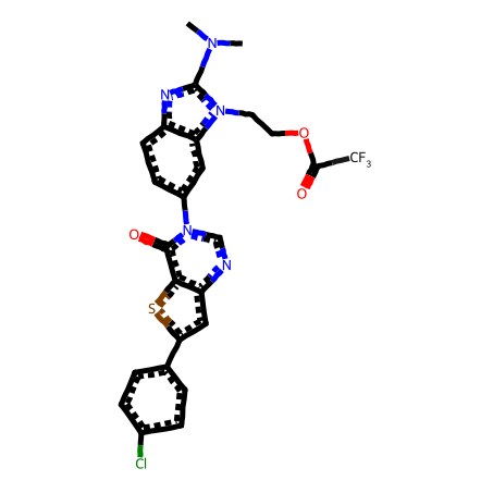 CN(C)c1nc2ccc(-n3cnc4cc(-c5ccc(Cl)cc5)sc4c3=O)cc2n1CCOC(=O)C(F)(F)F